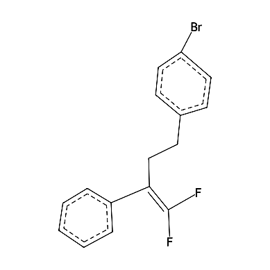 FC(F)=C(CCc1ccc(Br)cc1)c1ccccc1